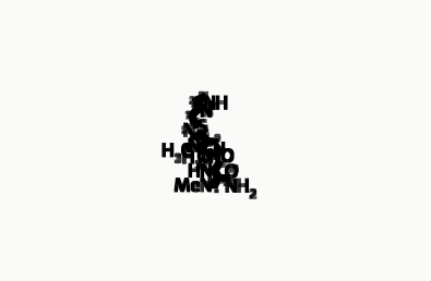 CN/C=C(\C(=N)CN(C)/N=C\c1c(C=O)n(C)c2nc(Cc3cc[nH]n3)sc12)C(N)=O